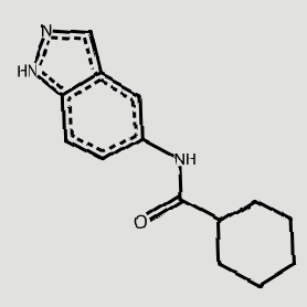 O=C(Nc1ccc2[nH]ncc2c1)C1CCCCC1